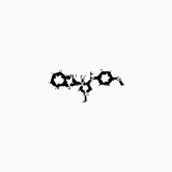 CSc1ccc(NC2CN(C)C[N+]2([O-])c2nc3ccccc3s2)cc1